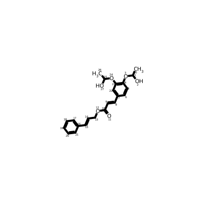 CC(O)Oc1ccc(/C=C/C(=O)OC/C=C/c2ccccc2)cc1OC(C)O